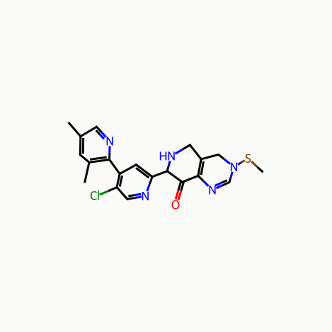 CSN1C=NC2=C(CNC(c3cc(-c4ncc(C)cc4C)c(Cl)cn3)C2=O)C1